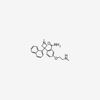 CNCCOc1ccc(C2(c3cccc4ccccc34)CN(C)C2)c(C(N)=O)c1